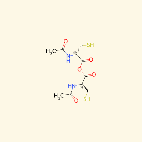 CC(=O)N[C@H](CS)C(=O)OC(=O)[C@@H](CS)NC(C)=O